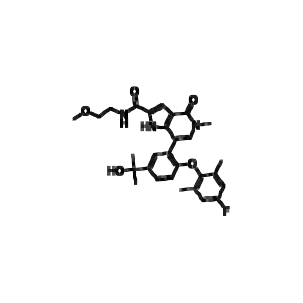 COCCNC(=O)c1cc2c(=O)n(C)cc(-c3cc(C(C)(C)O)ccc3Oc3c(C)cc(F)cc3C)c2[nH]1